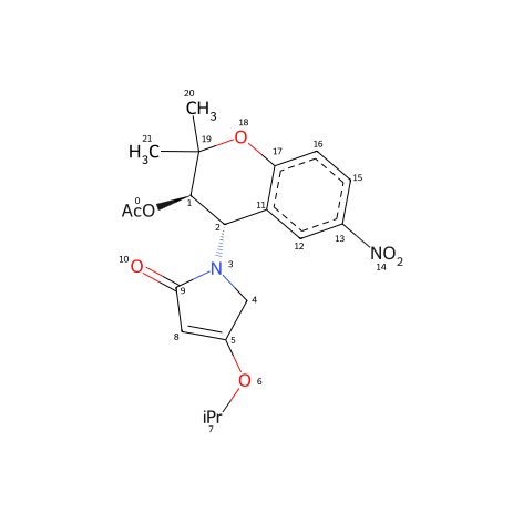 CC(=O)O[C@@H]1[C@@H](N2CC(OC(C)C)=CC2=O)c2cc([N+](=O)[O-])ccc2OC1(C)C